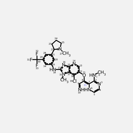 CNC1=NC=CN/C1=C(\C=N)Oc1cnc2nc(Nc3cc(C4CCCN4C)cc(C(F)(F)F)c3)n(C)c2c1Cl